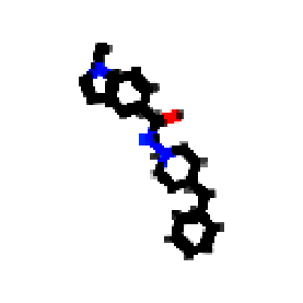 CC(C)n1ccc2cc(C(=O)NN3CCC(Cc4ccccc4)CC3)ccc21